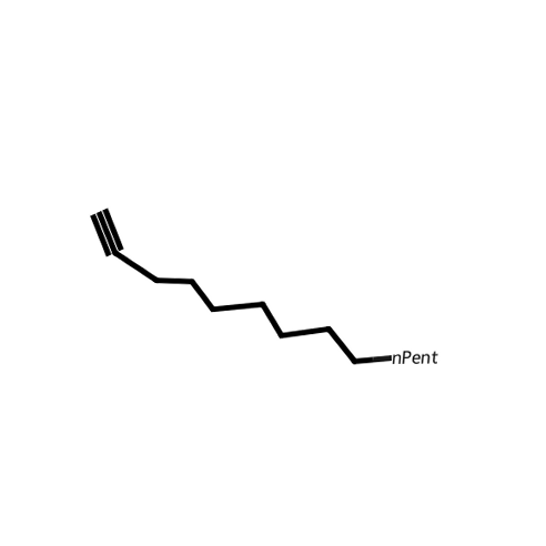 C#CCCCCCCCCCCCC